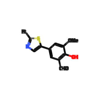 CCc1ncc(-c2cc(C=O)c(O)c(OC)c2)s1